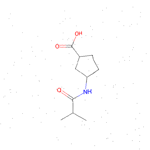 CC(C)C(=O)NC1CCC(C(=O)O)C1